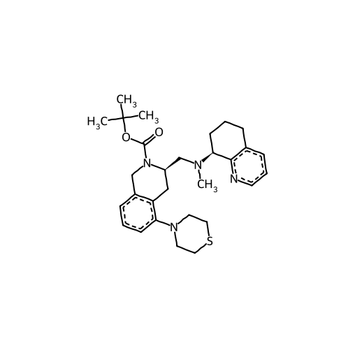 CN(C[C@H]1Cc2c(cccc2N2CCSCC2)CN1C(=O)OC(C)(C)C)[C@H]1CCCc2cccnc21